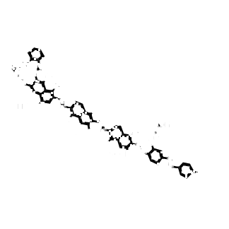 Nc1c(N=Nc2ccc3c(O)c(N=Nc4ccc5c(O)c(N=Nc6ccc(N=Nc7ccc(S(=O)(=O)O)cc7)cc6SOOO)c(S(=O)(=O)O)cc5c4S(=O)(=O)O)c(S(=O)(=O)O)cc3c2S(=O)(=O)O)cc(S(=O)(=O)O)c2cc(SOOO)c(N=Nc3ccccc3[N+](=O)[O-])c(O)c12